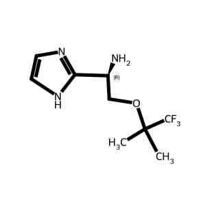 CC(C)(OC[C@H](N)c1ncc[nH]1)C(F)(F)F